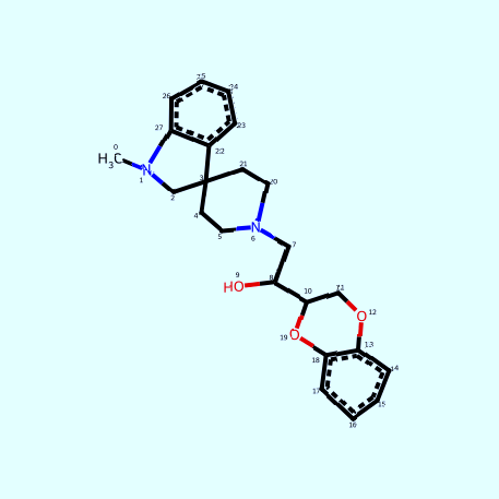 CN1CC2(CCN(CC(O)C3COc4ccccc4O3)CC2)c2ccccc21